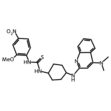 COc1cc([N+](=O)[O-])ccc1NC(=S)NC1CCC(Nc2cc(N(C)C)c3ccccc3n2)CC1